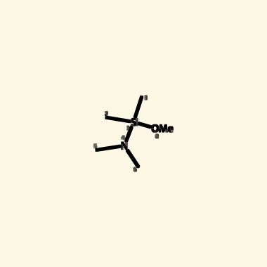 CO[Si](C)(C)N(C)C